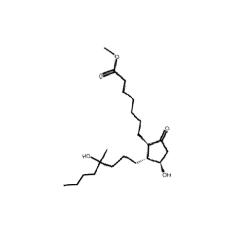 CCCCC(C)(O)CCC[C@H]1[C@H](O)CC(=O)[C@@H]1CCCCCCC(=O)OC